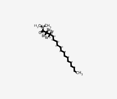 CCCCCCCCCCCCCCCC(Br)(Br)C(Br)(Br)C(=O)N(C)C